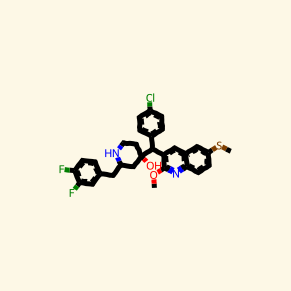 COc1nc2ccc(SC)cc2cc1C(c1ccc(Cl)cc1)C1(O)CCNC(Cc2ccc(F)c(F)c2)C1